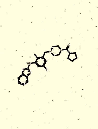 Cc1c(CN2CCN(C(=O)C3CCCC3)CC2)cc(Cl)cc1Nc1nc2ccccc2s1